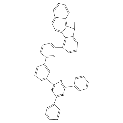 CC1(C)c2cccc(-c3cccc(-c4cccc(-c5nc(-c6ccccc6)nc(-c6ccccc6)n5)c4)c3)c2-c2ccc3ccccc3c21